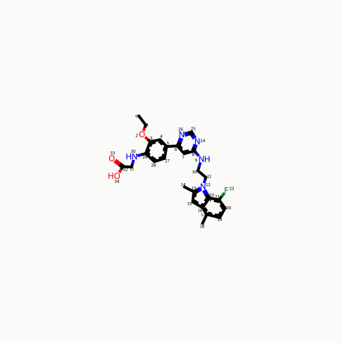 CCOc1cc(-c2cc(NCCn3c(C)cc4c(C)ccc(F)c43)ncn2)ccc1NCC(=O)O